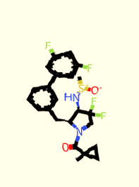 C[S+]([O-])N[C@@H]1[C@H](Cc2cccc(-c3cc(F)cc(F)c3)c2)N(C(=O)C2(C)CC2)CC1(F)F